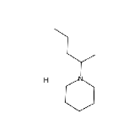 CCCC(C)N1CCCCC1.I